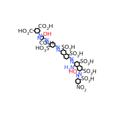 Nc1c(N=Nc2ccc3cc(N=Nc4ccc(N=Nc5c(C(=O)O)nn(-c6cc(C(=O)O)cc(C(=O)O)c6)c5O)c(S(=O)(=O)O)c4)c(S(=O)(=O)O)cc3c2S(=O)(=O)O)cc(S(=O)(=O)O)c2cc(S(=O)(=O)O)c(N=Nc3ccc([N+](=O)[O-])cc3S(=O)(=O)O)c(O)c12